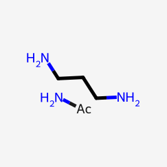 CC(N)=O.NCCCN